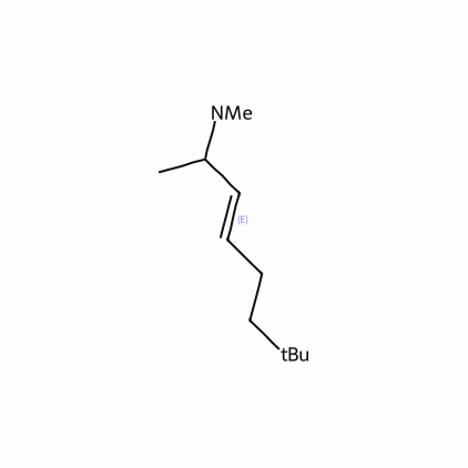 CNC(C)/C=C/CCC(C)(C)C